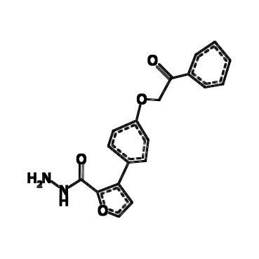 NNC(=O)c1occc1-c1ccc(OCC(=O)c2ccccc2)cc1